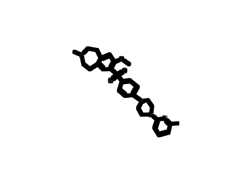 COc1cc2c(cc1S(=O)(=O)c1ccc(N3CCN(c4cccc(C)n4)CC3)cc1)CCN(C)CC2